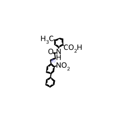 Cc1ccc(C(=O)O)c(NC(=O)/C=C/c2ccc(-c3ccccc3)cc2[N+](=O)[O-])c1